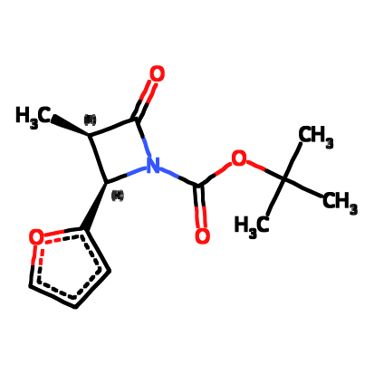 C[C@H]1C(=O)N(C(=O)OC(C)(C)C)[C@H]1c1ccco1